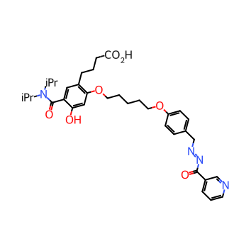 CC(C)N(C(=O)c1cc(CCCC(=O)O)c(OCCCCCOc2ccc(CN=NC(=O)c3cccnc3)cc2)cc1O)C(C)C